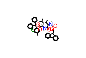 Cc1ccc(C(OC(=O)[C@H](CC(C)C)N(C)C(=O)C(C(C)C)N(C)C(=O)OCC2c3ccccc3-c3ccccc32)(c2ccccc2)c2ccccc2Cl)cc1